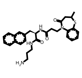 CC1CC(=O)N(CCC(=O)N[C@H](Cc2ccc3ccccc3c2)C(=O)NCCCN)c2ccccc2S1